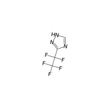 FC(F)(F)C(F)(F)c1nc[nH]n1